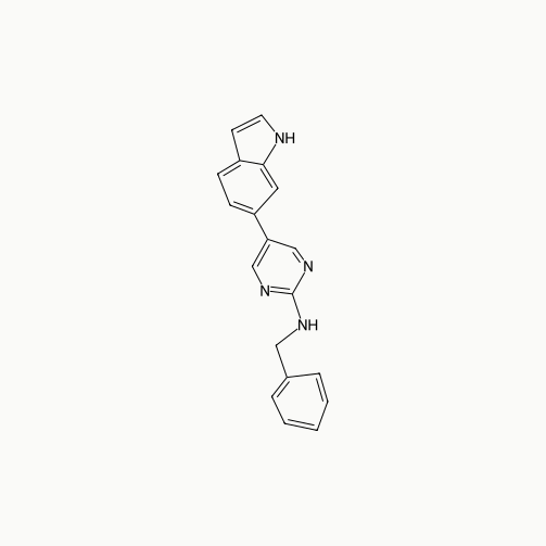 c1ccc(CNc2ncc(-c3ccc4cc[nH]c4c3)cn2)cc1